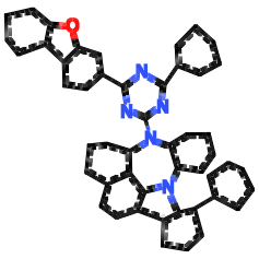 c1ccc(-c2nc(-c3ccc4c(c3)oc3ccccc34)nc(-n3c4cccc5ccc6c7cccc(-c8ccccc8)c7n(c7ccccc73)c6c54)n2)cc1